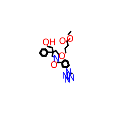 CCOC(=O)CCCOc1ccc(-n2cnnn2)cc1C(=O)N1CCC(CCO)(c2ccccc2)C1